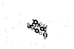 Cc1ccc(C(=O)Nc2ccc(CN3CCN(C)CC3)c(C(F)(F)F)c2)cc1Cc1nc(-c2ccc(Cl)cc2)nc2ccn(C)c12